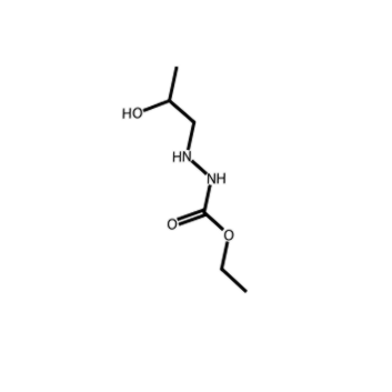 CCOC(=O)NNCC(C)O